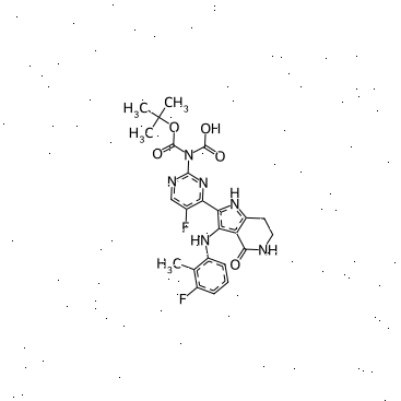 Cc1c(F)cccc1Nc1c(-c2nc(N(C(=O)O)C(=O)OC(C)(C)C)ncc2F)[nH]c2c1C(=O)NCC2